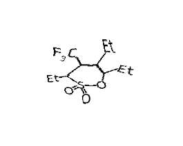 CCC1OS(=O)(=O)C(CC)C(C(F)(F)F)C1CC